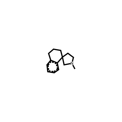 CN1CCC2(CCCc3ccccc32)C1